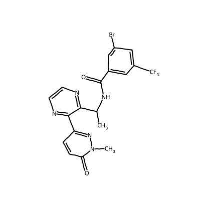 CC(NC(=O)c1cc(Br)cc(C(F)(F)F)c1)c1nccnc1-c1ccc(=O)n(C)n1